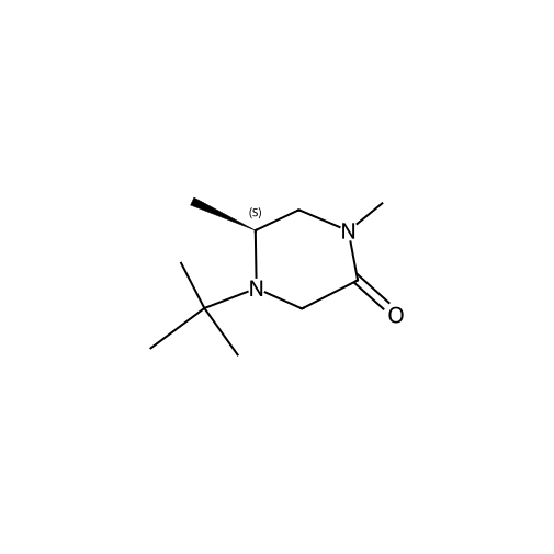 C[C@H]1CN(C)C(=O)CN1C(C)(C)C